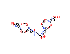 O=C(O)c1cccc(CN2CCOCCOCCN(Cc3cccc(C(=O)NCCCCC(NC(=O)c4cccc(CN5CCOCCOCCN(Cc6cccc(C(=O)O)n6)CCOCCOCC5)n4)C(=O)O)n3)CCOCCOCC2)n1